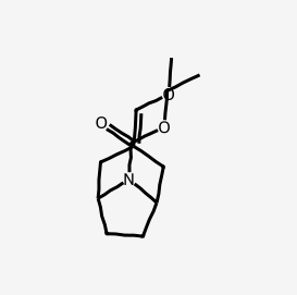 CCOC(=O)N1C2CCC1CC(=COC)C2